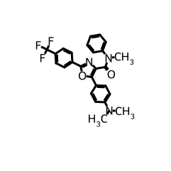 CN(C)c1ccc(-c2oc(-c3ccc(C(F)(F)F)cc3)nc2C(=O)N(C)c2ccccc2)cc1